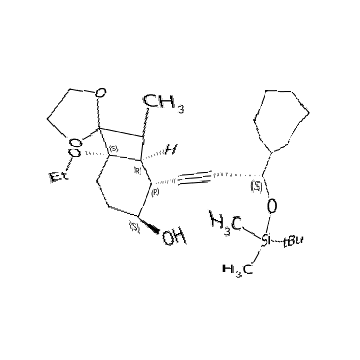 CCO[C@@]12CC[C@H](O)[C@@H](C#C[C@@H](O[Si](C)(C)C(C)(C)C)C3CCCCC3)[C@@H]1C(C)C21OCCO1